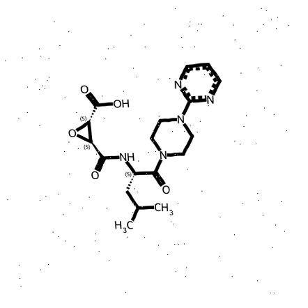 CC(C)C[C@H](NC(=O)[C@H]1O[C@@H]1C(=O)O)C(=O)N1CCN(c2ncccn2)CC1